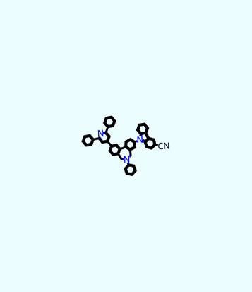 N#Cc1ccc2c(c1)c1ccccc1n2-c1ccc2c(c1)CN(c1ccccc1)Cc1ccc(-c3cc(-c4ccccc4)nc(-c4ccccc4)c3)cc1-2